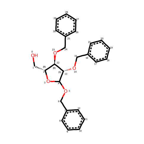 OC[C@H]1OC(OCc2ccccc2)[C@@H](OCc2ccccc2)[C@@H]1OCc1ccccc1